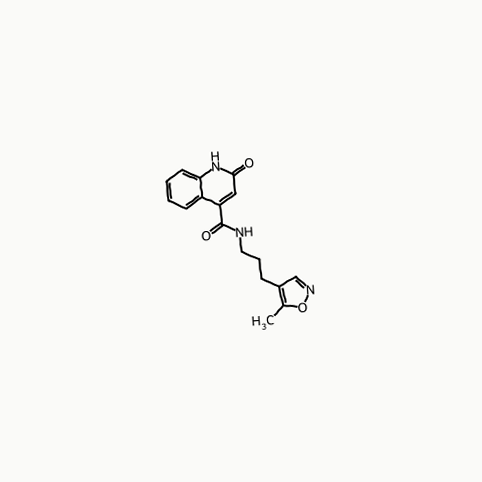 Cc1oncc1CCCNC(=O)c1cc(=O)[nH]c2ccccc12